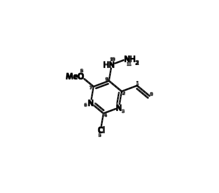 C=Cc1nc(Cl)nc(OC)c1NN